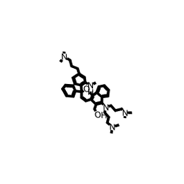 CNc1cc(CCCN(C)C)ccc1C1(c2ccccc2)C=Cc2c(CO)c(N(CCCN(C)C)CCCN(C)C)c3ccccc3c2O1